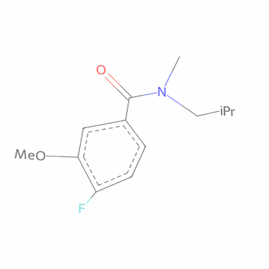 COc1cc(C(=O)N(C)CC(C)C)ccc1F